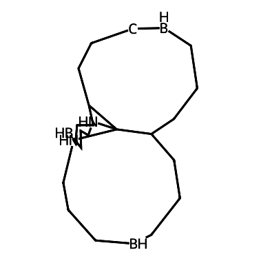 B1CCCNC23NCCCBCCCC2CCCBCCCC3CCC1